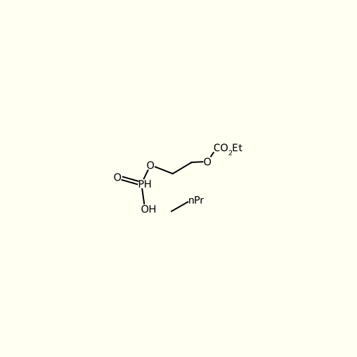 CCCC.CCOC(=O)OCCO[PH](=O)O